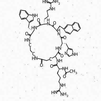 CC(=O)N[C@@H](CCCNC(=N)N)C(=O)N[C@H]1CCC(=O)NCCCNC(=O)[C@H](Cc2c[nH]c3ccccc23)NC(=O)[C@H](CCCNC(=N)N)NC(=O)[C@@H](Cc2ccc3ccccc3c2)NC(=O)[C@H](Cc2c[nH]cn2)NC1=O